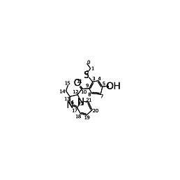 CCSc1cc(O)ccc1C(=O)C1C(CC)N=C2C=CC=CN21